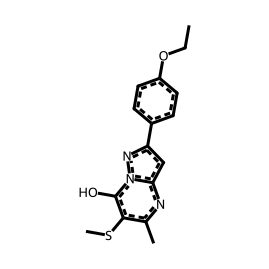 CCOc1ccc(-c2cc3nc(C)c(SC)c(O)n3n2)cc1